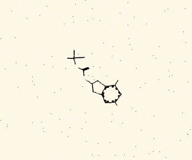 CC(C)(C)OC(=O)NC1Cc2cc(Cl)cc(O)c2C1